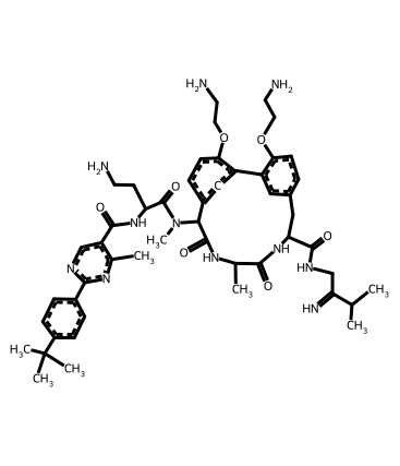 Cc1nc(-c2ccc(C(C)(C)C)cc2)ncc1C(=O)NC(CCN)C(=O)N(C)C1C(=O)NC(C)C(=O)NC(C(=O)NCC(=N)C(C)C)Cc2ccc(OCCN)c(c2)-c2cc1ccc2OCCN